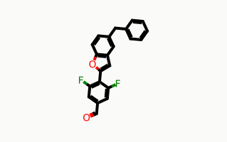 O=Cc1cc(F)c(-c2cc3cc(Cc4ccccc4)ccc3o2)c(F)c1